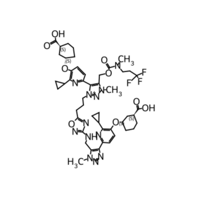 CN(CCC(F)(F)F)C(=O)OCc1c(-c2ccc(O[C@H]3CCC[C@H](C(=O)O)C3)c(C3CC3)n2)[n+](CCCc2nc(NCc3c(-c4ccc(O[C@H]5CCC[C@H](C(=O)O)C5)c(C5CC5)n4)nnn3C)no2)nn1C